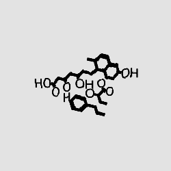 C=CCc1ccccc1OC(CC)C(=O)OC1CC(O)C=C2C=CC(C)C(CCC(O)CC(O)CC(=O)O)C21